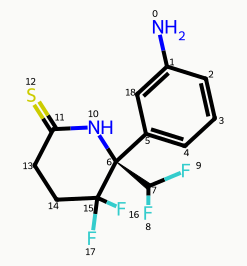 Nc1cccc([C@@]2(C(F)F)NC(=S)CCC2(F)F)c1